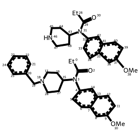 CCC(=O)N(c1ccc2cc(OC)ccc2c1)C1CCN(Cc2ccccc2)CC1.CCC(=O)N(c1ccc2cc(OC)ccc2c1)C1CCNCC1